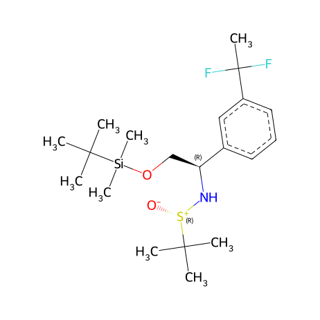 CC(F)(F)c1cccc([C@H](CO[Si](C)(C)C(C)(C)C)N[S@@+]([O-])C(C)(C)C)c1